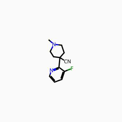 CN1CCC(C#N)(c2ncccc2F)CC1